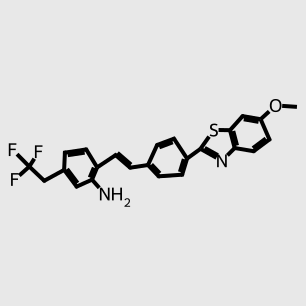 COc1ccc2nc(-c3ccc(C=Cc4ccc(CC(F)(F)F)cc4N)cc3)sc2c1